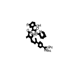 C=C(/C=C\C1=C(C)C(=O)N(C(C(=O)Nc2ccccn2)c2cc(F)ccc2O)C1)c1ccc(C(CCC)CCCC)cc1